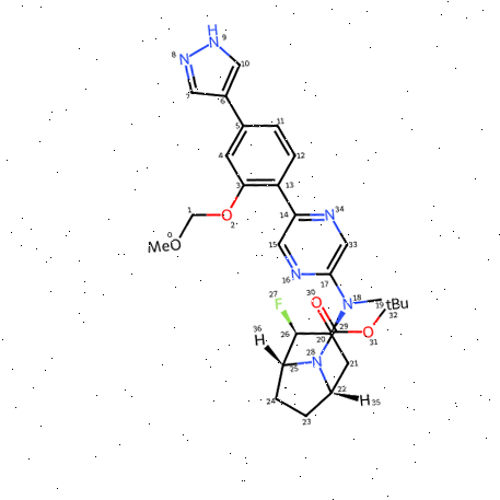 COCOc1cc(-c2cn[nH]c2)ccc1-c1cnc(N(C)[C@H]2C[C@@H]3CC[C@H]([C@H]2F)N3C(=O)OC(C)(C)C)cn1